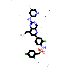 CCc1cc(-c2ccc(NS(=O)(=O)Cc3ccc(F)cc3F)c(F)c2)nc2cnc(N[C@@H]3CNC[C@@H](F)C3)nc12